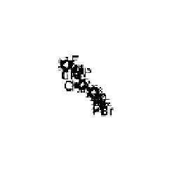 Cn1nc(-c2c(F)cccc2Cl)nc1-c1sc(-c2ccc(OC(F)(F)C(F)Br)cc2)cc1Cl